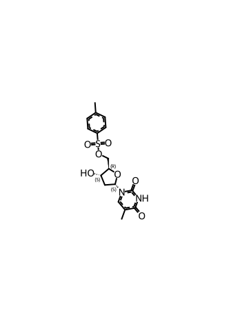 Cc1ccc(S(=O)(=O)OC[C@H]2O[C@H](n3cc(C)c(=O)[nH]c3=O)C[C@@H]2O)cc1